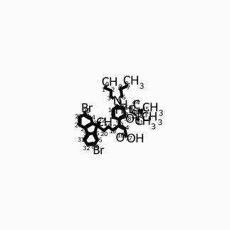 CCCCN(CCCC)c1ccc(/C(=C/C(=O)O)CCCC2(C)c3cc(Br)ccc3-c3ccc(Br)cc32)c(O[Si](C)(C)C(C)(C)C)c1